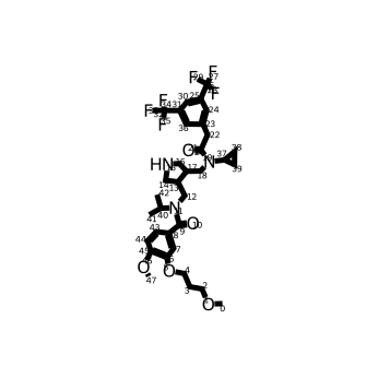 COCCCOc1cc(C(=O)N(CC2CNCC2CN(C(=O)Cc2cc(C(F)(F)F)cc(C(F)(F)F)c2)C2CC2)C(C)C)ccc1OC